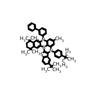 Cc1cc2c3c(c1)N(c1ccc(C(C)(C)C)cc1)c1c(sc4ccc(C(C)(C)C)cc14)B3c1cc3c(cc1N2c1cccc(-c2ccccc2)c1)C(C)(C)CCC3(C)C